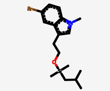 CC(C)C[Si](C)(C)OCCc1cn(C)c2ccc(Br)cc12